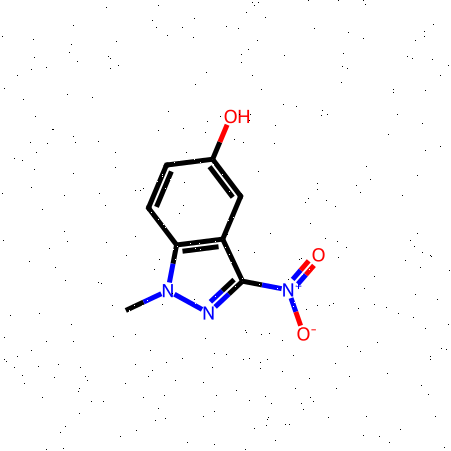 Cn1nc([N+](=O)[O-])c2cc(O)ccc21